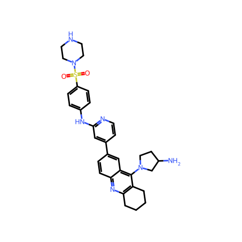 NC1CCN(c2c3c(nc4ccc(-c5ccnc(Nc6ccc(S(=O)(=O)N7CCNCC7)cc6)c5)cc24)CCCC3)C1